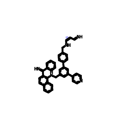 N=C/C=C\NCc1ccc(-c2cc(CNc3c(C(=N)c4ccccc4)ccc4ccccc34)cc(-c3ccncc3)c2)cc1